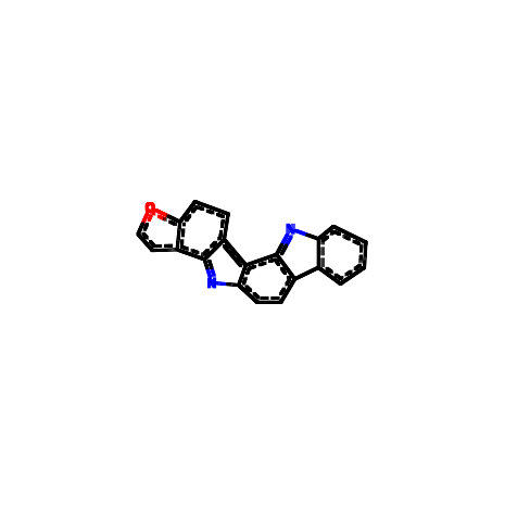 c1ccc2c(c1)N=c1c-2ccc2c1=c1ccc3occc3c1=N2